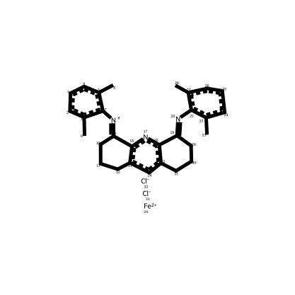 Cc1cccc(C)c1N=C1CCCc2cc3c(nc21)C(=Nc1c(C)cccc1C)CCC3.[Cl-].[Cl-].[Fe+2]